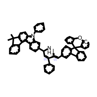 CC1(C)c2ccccc2-c2c1ccc1c2c2ccc(C(N)/C=C(\C(I)=C\c3ccc4c(c3)-c3ccccc3C43c4ccccc4Oc4ccccc43)c3ccccc3)cc2n1-c1ccccc1